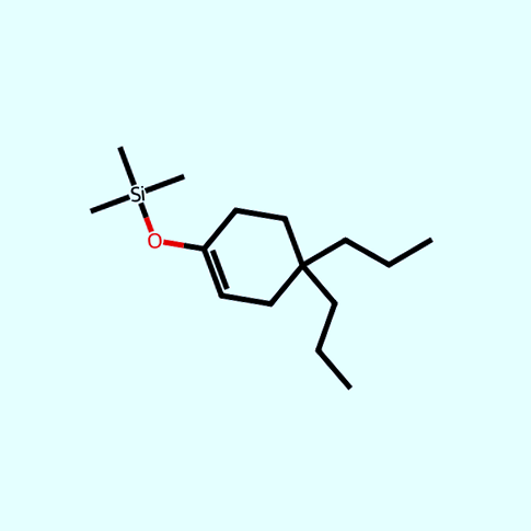 CCCC1(CCC)CC=C(O[Si](C)(C)C)CC1